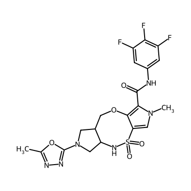 Cc1nnc(N2CC3COc4c(cn(C)c4C(=O)Nc4cc(F)c(F)c(F)c4)S(=O)(=O)NC3C2)o1